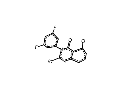 CCc1nc2cccc(Cl)c2c(=O)n1-c1cc(F)cc(F)c1